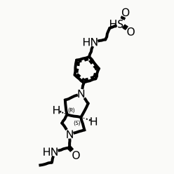 CCNC(=O)N1C[C@@H]2CN(c3ccc(NCC[SH](=O)=O)cc3)C[C@@H]2C1